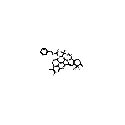 CCCC(C)(C)C(=O)N(C(=O)OCc1ccccc1)C1CCc2c(C)c(F)cc3nc4c(c1c23)Cn1c-4cc2c(c1=O)COC(=O)C2(O)CC